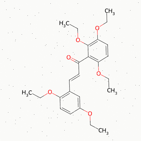 CCOc1ccc(OCC)c(C=CC(=O)c2c(OCC)ccc(OCC)c2OCC)c1